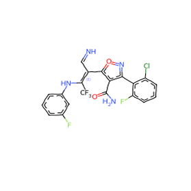 N=C/C(=C(\Nc1cccc(F)c1)C(F)(F)F)c1onc(-c2c(F)cccc2Cl)c1C(N)=O